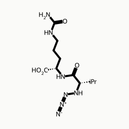 CC(C)[C@H](NN=[N+]=[N-])C(=O)N[C@@H](CCCNC(N)=O)C(=O)O